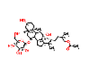 CC(=O)OC[C@H](C)CCC[C@@H](C)[C@H]1CCC2C3C(C[C@H](O)[C@@]21C)[C@@]1(C)CC[C@@H](O)C[C@H]1C[C@H]3O[C@@H]1O[C@H](CO)[C@H](O)[C@H](O)[C@H]1O